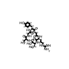 N=C(N)NCCC[C@H](NC(=O)CNC(=O)[C@H](Cc1ccc(O)cc1)NC(=O)CNC(=O)[C@@H](N)CS)C(=O)N[C@@H](CO)C(=O)O